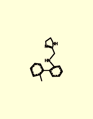 Cc1ccccc1-c1ccccc1NCC1=NCCN1